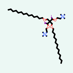 CCCCCCCCCCCCCCOCC(COCCCCCCCCCCCCCC)(C(I)OCC[N+](C)(C)C)C(I)OCC[N+](C)(C)C